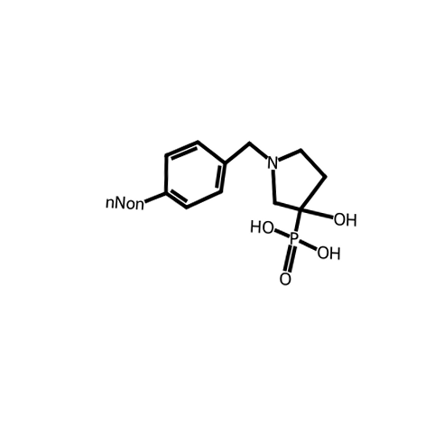 CCCCCCCCCc1ccc(CN2CCC(O)(P(=O)(O)O)C2)cc1